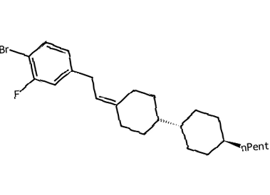 CCCCC[C@H]1CC[C@H](C2CCC(=CCc3ccc(Br)c(F)c3)CC2)CC1